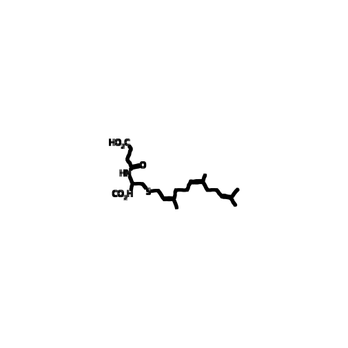 CC(C)=CCCC(C)=CCCC(C)=CCSCC(NC(=O)CCC(=O)O)C(=O)O